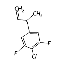 C=C[C](C)c1cc(F)c(Cl)c(F)c1